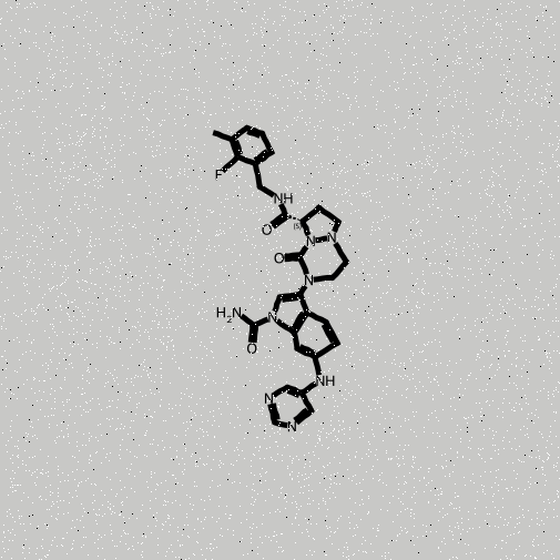 Cc1cccc(CNC(=O)[C@@H]2CCN3CCN(c4cn(C(N)=O)c5cc(Nc6cncnc6)ccc45)C(=O)N23)c1F